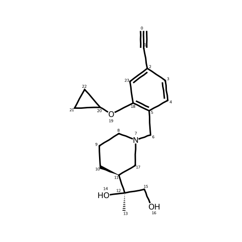 C#Cc1ccc(CN2CCC[C@H]([C@](C)(O)CO)C2)c(OC2CC2)c1